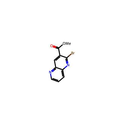 COC(=O)c1cc2ncccc2nc1Br